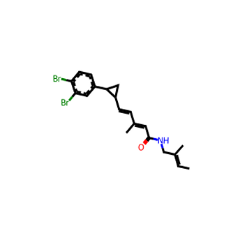 C/C=C(\C)CNC(=O)/C=C(C)/C=C/C1CC1c1ccc(Br)c(Br)c1